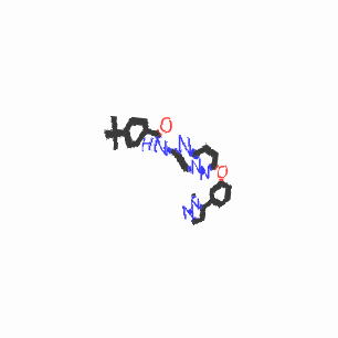 Cn1nccc1-c1cccc(Oc2ccc3nc(NC(=O)c4ccc(C(C)(C)C)cc4)cn3n2)c1